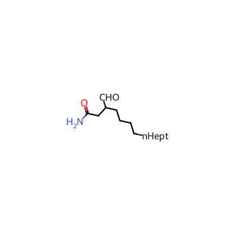 CCCCCCCCCCCC(C=O)CC(N)=O